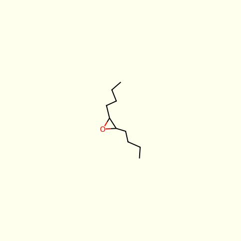 CCCCC1OC1CCCC